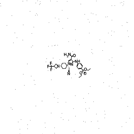 CCOP(=O)(OCC)c1ccc(Nc2nn([C@]3(CC#N)CC[C@@H](N4CC(C(F)(F)F)C4)CC3)cc2C(N)=O)cc1